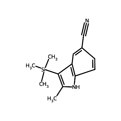 Cc1[nH]c2ccc(C#N)cc2c1[Si](C)(C)C